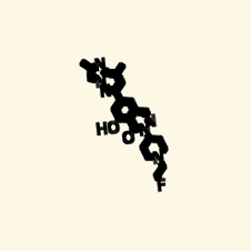 Cc1cn2nc(-c3cc(O)c4c(=O)n(C5CCN(CCF)CC5)ncc4c3)cc(C)c2n1